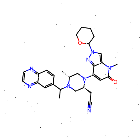 CC(c1ccc2nccnc2c1)N1C[C@H](CC#N)N(c2cc(=O)n(C)c3cn(C4CCCCO4)nc23)C[C@H]1C